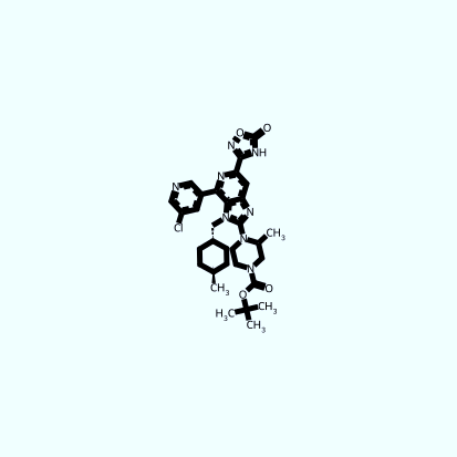 CC1CN(C(=O)OC(C)(C)C)CCN1c1nc2cc(-c3noc(=O)[nH]3)nc(-c3cncc(Cl)c3)c2n1C[C@H]1CC[C@H](C)CC1